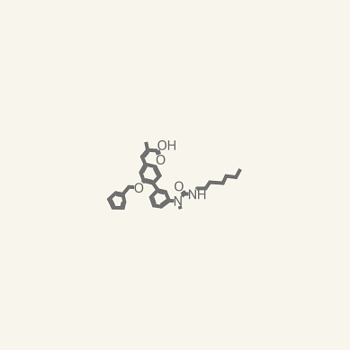 CCCCCCCNC(=O)N(C)c1cccc(-c2ccc(C=C(C)C(=O)O)cc2OCc2ccccc2)c1